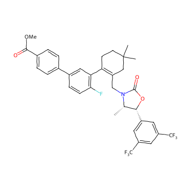 COC(=O)c1ccc(-c2ccc(F)c(C3=C(CN4C(=O)O[C@H](c5cc(C(F)(F)F)cc(C(F)(F)F)c5)[C@@H]4C)CC(C)(C)CC3)c2)cc1